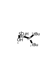 CC(C)(C)P(C(C)(C)C)C(C)(C)C.O=S(=O)(O)O